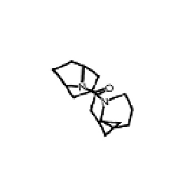 O=C(CC1CC1)N1C2CCC1CC(N1CCCCC1)C2